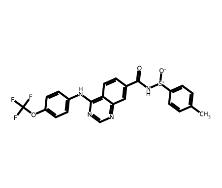 Cc1ccc([S+]([O-])NC(=O)c2ccc3c(Nc4ccc(OC(F)(F)F)cc4)ncnc3c2)cc1